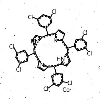 Clc1cc(Cl)cc(-c2c3nc(c(-c4cc(Cl)cc(Cl)c4)c4ccc([nH]4)c(-c4cc(Cl)cc(Cl)c4)c4nc(c(-c5cc(Cl)cc(Cl)c5)c5ccc2[nH]5)C=C4)C=C3)c1.[Co]